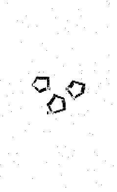 c1cc[nH]c1.c1cnsc1.c1cocn1